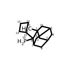 CC12CC3CC(CC(C3)C1(P)C1CCC1)C2